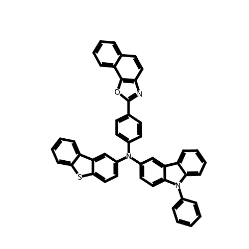 c1ccc(-n2c3ccccc3c3cc(N(c4ccc(-c5nc6ccc7ccccc7c6o5)cc4)c4ccc5sc6ccccc6c5c4)ccc32)cc1